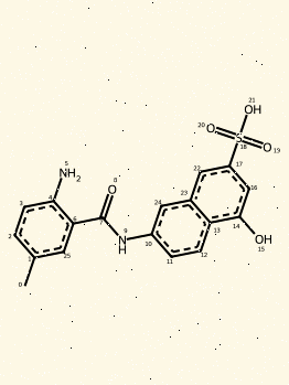 Cc1ccc(N)c(C(=O)Nc2ccc3c(O)cc(S(=O)(=O)O)cc3c2)c1